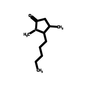 CCCCCC1C(C)CC(=O)N1C